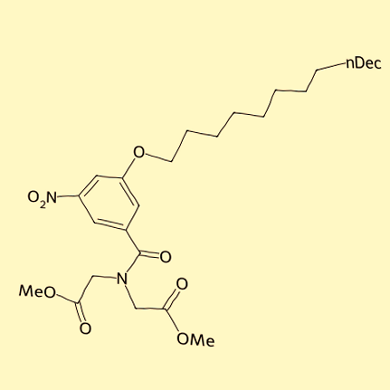 CCCCCCCCCCCCCCCCCCOc1cc(C(=O)N(CC(=O)OC)CC(=O)OC)cc([N+](=O)[O-])c1